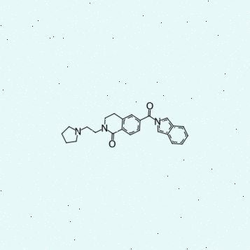 O=C1c2ccc(C(=O)n3cc4ccccc4c3)cc2CCN1CCN1CCCC1